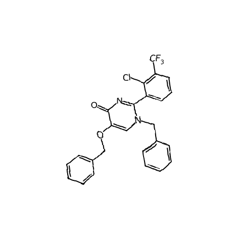 O=c1nc(-c2cccc(C(F)(F)F)c2Cl)n(Cc2ccccc2)cc1OCc1ccccc1